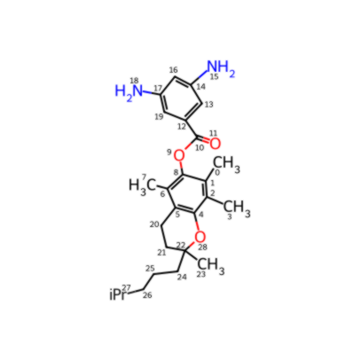 Cc1c(C)c2c(c(C)c1OC(=O)c1cc(N)cc(N)c1)CCC(C)(CCCC(C)C)O2